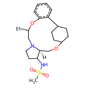 CCC1CN2CCC(NS(C)(=O)=O)[C@@H]2COC2CCC(CC2)c2ccccc2O1